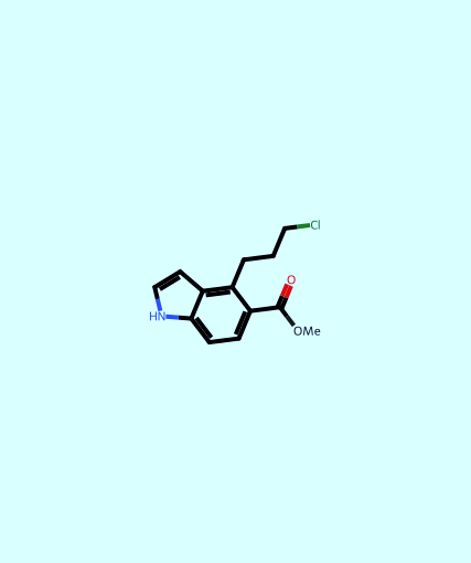 COC(=O)c1ccc2[nH]ccc2c1CCCCl